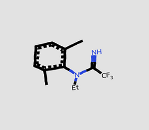 CCN(C(=N)C(F)(F)F)c1c(C)cccc1C